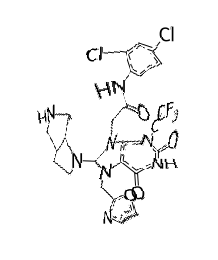 O=C(CN1c2c(c(=O)[nH]c(=O)n2CC(F)(F)F)N(Cc2ncco2)C1N1CCC2CNCC21)Nc1ccc(Cl)cc1Cl